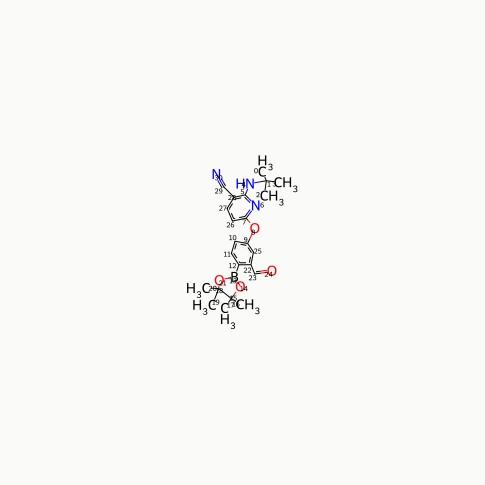 CC(C)(C)Nc1nc(Oc2ccc(B3OC(C)(C)C(C)(C)O3)c(C=O)c2)ccc1C#N